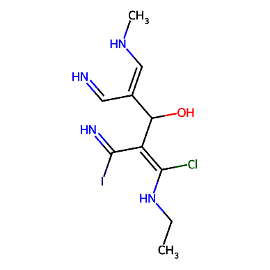 CCN/C(Cl)=C(\C(=N)I)C(O)/C(C=N)=C/NC